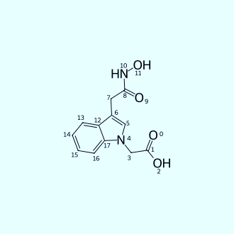 O=C(O)Cn1cc(CC(=O)NO)c2ccccc21